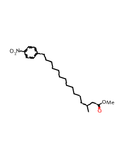 COC(=O)CC(C)CCCCCCCCCCCCc1ccc([N+](=O)[O-])cc1